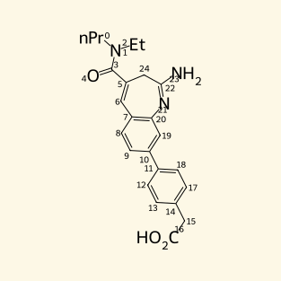 CCCN(CC)C(=O)C1=Cc2ccc(-c3ccc(CC(=O)O)cc3)cc2N=C(N)C1